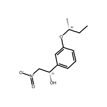 CC[C@@H](C)Oc1cccc([C@H](O)C[N+](=O)[O-])c1